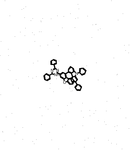 c1ccc(C2=NC(c3ccccc3)NC(c3cc(-c4cccc5c4c4ccc(-c6ccccc6)cc4n5-c4ccccc4)c4c(c3)oc3ccccc34)=N2)cc1